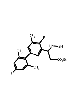 CCOC(=O)CC(NS)c1cc(-c2c(C)cc(F)cc2C)cc(C(F)(F)F)c1F